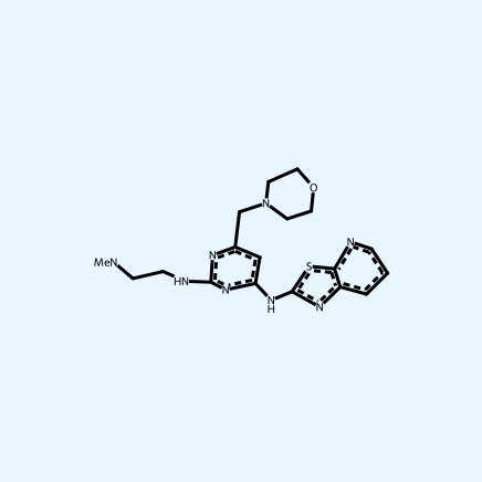 CNCCNc1nc(CN2CCOCC2)cc(Nc2nc3cccnc3s2)n1